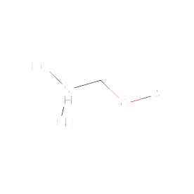 CC(=O)OC[SiH](C)C